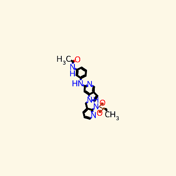 CCS(=O)(=O)Nc1ncccc1Cn1ccc2cnc(Nc3cccc(NC(C)=O)c3)cc21